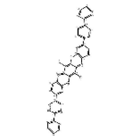 Clc1c2c(c(Cl)c3c1=Nc1ccc(-c4ccc(-c5ccccc5)cc4)cc1O3)=Nc1ccc(-c3ccc(-c4ccccc4)cc3)cc1O2